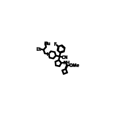 CCC(C)CC(CC)CN1CCC(C(C#N)(c2cccc(F)c2)C2CCCC2NC(OC)=C2CCC2)CC1